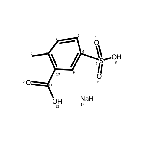 Cc1ccc(S(=O)(=O)O)cc1C(=O)O.[NaH]